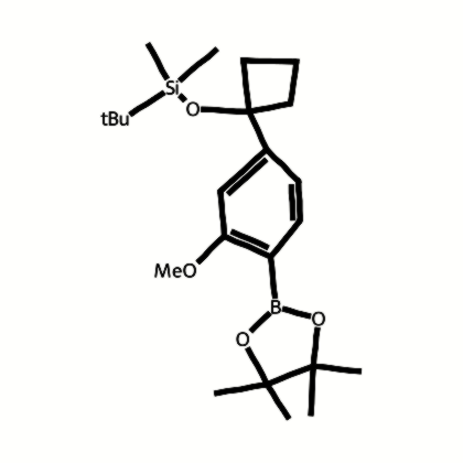 COc1cc(C2(O[Si](C)(C)C(C)(C)C)CCC2)ccc1B1OC(C)(C)C(C)(C)O1